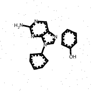 Nc1ncc2ncn(-c3ccccc3)c2n1.Oc1ccccc1